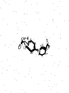 O=C(O)N1CCC(N2CCCC(C(F)F)C2)CC1